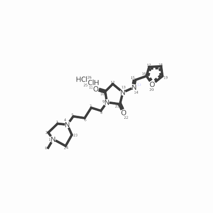 CN1CCN(CCCCN2C(=O)CN(/N=C/c3ccco3)C2=O)CC1.Cl.Cl